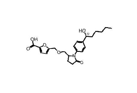 CCCCC[C@H](O)c1ccc(N2C(=O)CCC2COCc2ccc(C(=O)O)o2)cc1